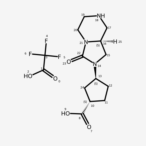 O=C(O)C(F)(F)F.O=C(O)[C@H]1CC[C@H](N2C[C@@H]3CNCCN3C2=O)C1